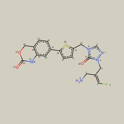 NC/C(=C/F)Cn1ncn(Cc2ccc(-c3ccc4c(c3)NC(=O)OC4)s2)c1=O